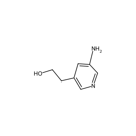 Nc1cncc([CH]CO)c1